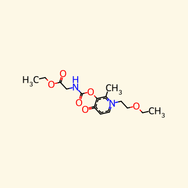 CCOCCn1ccc(=O)c(OC(=O)NCC(=O)OCC)c1C